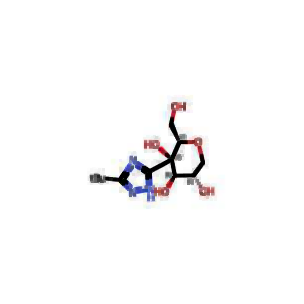 CC(C)(C)c1n[nH]c([C@@]2(O)[C@H](O)[C@@H](O)CO[C@@H]2CO)n1